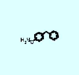 NOc1ccc(Cc2ccccc2)cc1